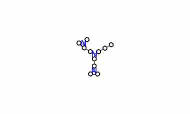 c1ccc(-c2ccc(-c3ccc(N(c4ccc(-c5ccc(-n6c7ccccc7c7ccccc76)cc5)cc4)c4ccc(-c5ccc6c7ccccc7n(-c7ccccc7)c6c5)cc4)cc3)cc2)cc1